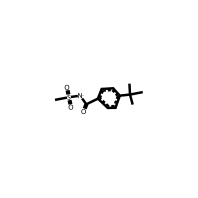 CC(C)(C)c1ccc(C(=O)[N]S(C)(=O)=O)cc1